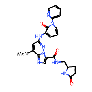 CNc1cc(Nc2cccn(-c3ccccn3)c2=O)nn2c(C(=O)NCC3CCC(=O)N3)cnc12